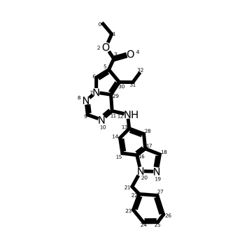 CCOC(=O)c1cn2ncnc(Nc3ccc4c(cnn4Cc4ccccc4)c3)c2c1CC